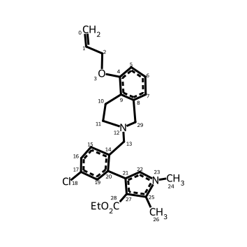 C=CCOc1cccc2c1CCN(Cc1ccc(Cl)cc1-c1cn(C)c(C)c1C(=O)OCC)C2